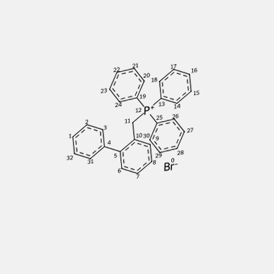 [Br-].c1ccc(-c2ccccc2C[P+](c2ccccc2)(c2ccccc2)c2ccccc2)cc1